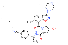 CC(C)[C@H](C(=O)N1C[C@H](O)C[C@H]1C(=O)N[C@@H](C)c1ccc(C#N)cc1)c1cc(N2CCNCC2)no1